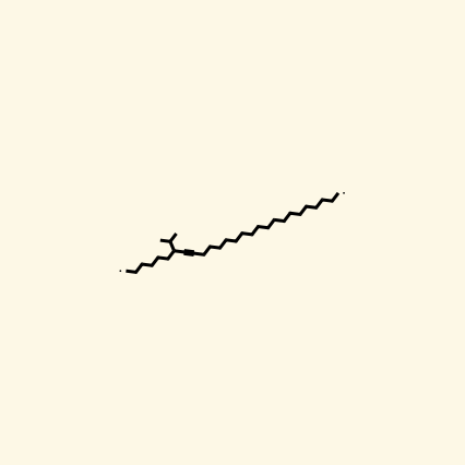 [CH2]CCCCCCCCCCCCCCCCCC#CC(CCCCC[CH2])C(C)C